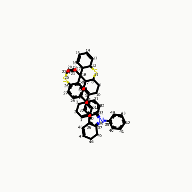 C1=CCCC(C2=CC3C(CC2)SC2C=CC=CC2C32c3ccccc3Sc3ccc(-c4ccc5c(c4)c4c(n5-c5ccccc5)CCC=C4)cc32)=C1